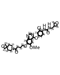 COc1cc2c(Oc3ccc(NC(=O)NCC4COC4)c(Cl)c3)ncnc2cc1OCCCC(=O)N1CCC2(CC1)COC2